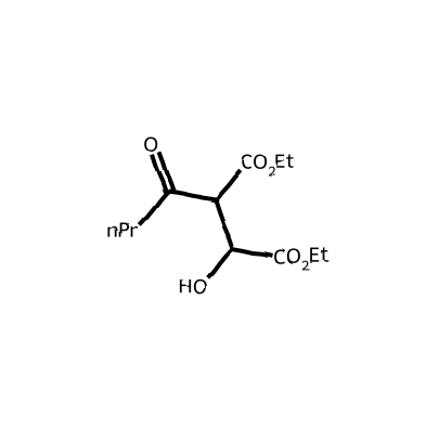 CCCC(=O)C(C(=O)OCC)C(O)C(=O)OCC